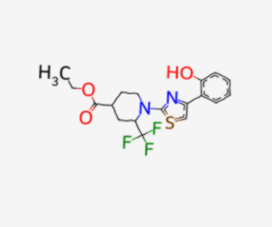 CCOC(=O)C1CCN(c2nc(-c3ccccc3O)cs2)C(C(F)(F)F)C1